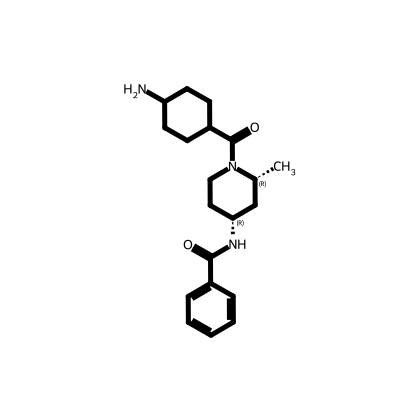 C[C@@H]1C[C@H](NC(=O)c2ccccc2)CCN1C(=O)C1CCC(N)CC1